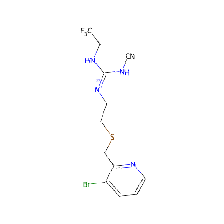 N#CN/C(=N\CCSCc1ncccc1Br)NCC(F)(F)F